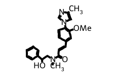 COc1cc(C=CC(=O)N(C)CC(O)c2ccccc2)ccc1-n1cnc(C)c1